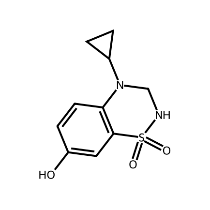 O=S1(=O)NCN(C2CC2)c2ccc(O)cc21